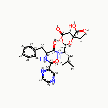 CCC1(C(=O)O)CC(=O)OB([C@H](CC(C)C)NC(=O)C(Cc2ccccc2)NC(=O)c2cnccn2)O1